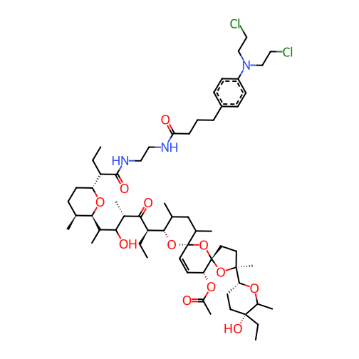 CCC(C(=O)NCCNC(=O)CCCc1ccc(N(CCCl)CCCl)cc1)[C@H]1CC[C@H](C)[C@H](C(C)C(O)[C@H](C)C(=O)[C@H](CC)[C@H]2O[C@]3(C=C[C@@H](OC(C)=O)[C@]4(CC[C@@](C)([C@H]5CC[C@](O)(CC)C(C)O5)O4)O3)C(C)CC2C)O1